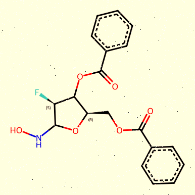 O=C(OC[C@H]1OC(NO)[C@@H](F)C1OC(=O)c1ccccc1)c1ccccc1